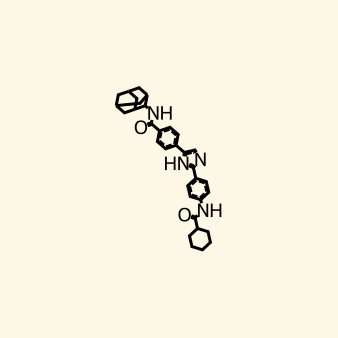 O=C(NC1C2CC3CC(C2)CC1C3)c1ccc(-c2cnc(-c3ccc(NC(=O)C4CCCCC4)cc3)[nH]2)cc1